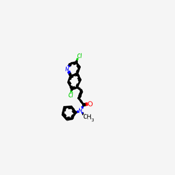 CN(C(=O)C=Cc1cc2cc(Cl)cnc2cc1Cl)c1ccccc1